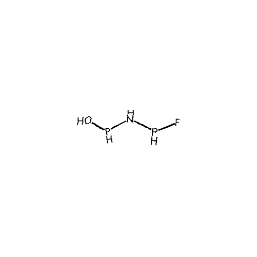 OPNPF